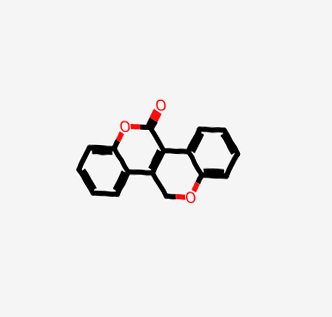 O=c1oc2ccccc2c2c1-c1ccccc1OC2